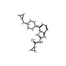 O=C(Nc1nc2cccc(N3CCN(CC4CC4)CC3)n2n1)C1CC1